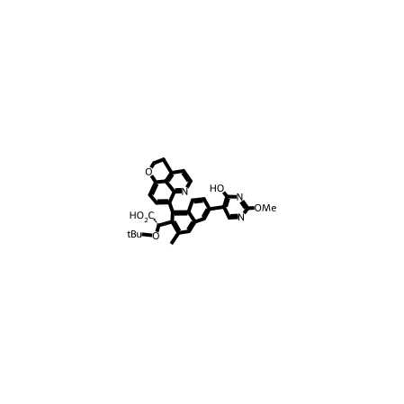 COc1ncc(-c2ccc3c(-c4ccc5c6c(ccnc46)CCO5)c([C@H](OC(C)(C)C)C(=O)O)c(C)cc3c2)c(O)n1